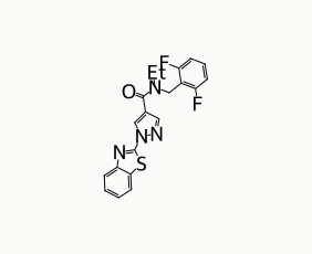 CCN(Cc1c(F)cccc1F)C(=O)c1cnn(-c2nc3ccccc3s2)c1